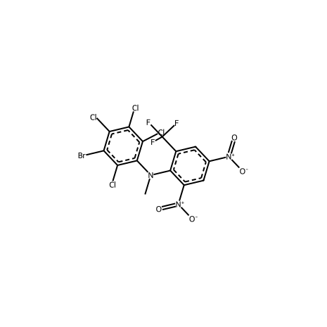 CN(c1c([N+](=O)[O-])cc([N+](=O)[O-])cc1C(F)(F)F)c1c(Cl)c(Cl)c(Cl)c(Br)c1Cl